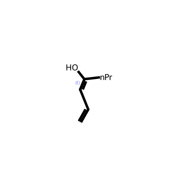 C=C/C=C(/O)CCC